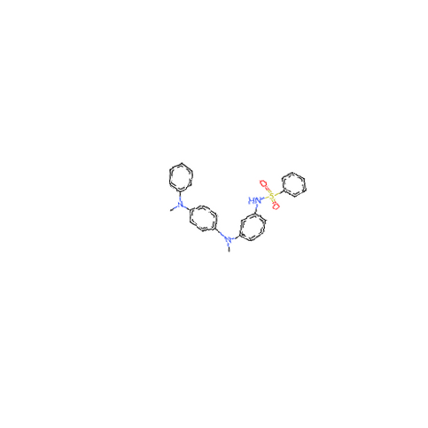 CN(c1ccccc1)c1ccc(N(C)c2cccc(NS(=O)(=O)c3ccccc3)c2)cc1